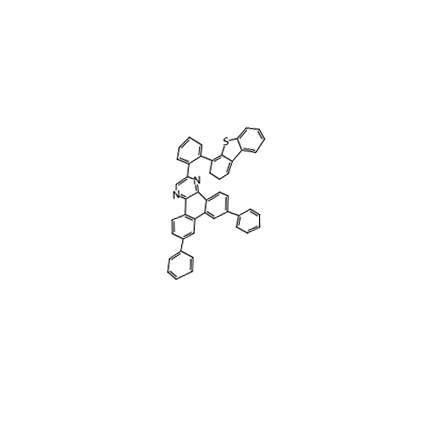 C1=c2c(sc3ccccc23)=C(c2ccccc2-c2cnc3c4ccc(-c5ccccc5)cc4c4cc(-c5ccccc5)ccc4c3n2)CC1